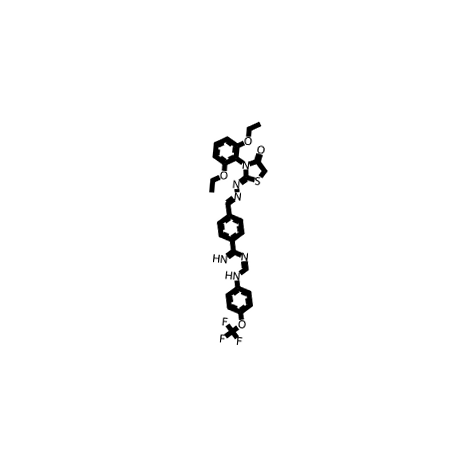 CCOc1cccc(OCC)c1N1C(=O)CS/C1=N\N=C\c1ccc(C(=N)/N=C\Nc2ccc(OC(F)(F)F)cc2)cc1